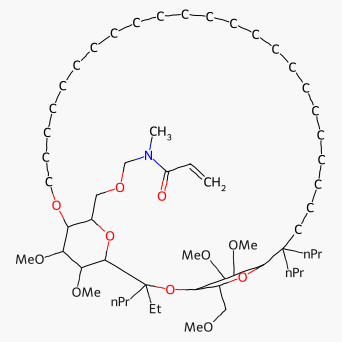 C=CC(=O)N(C)COCC1OC2C(OC)C(OC)C1OCCCCCCCCCCCCCCCCCCCCCCCC(CCC)(CCC)C1OC(COC)C(OC2(CC)CCC)C(OC)C1OC